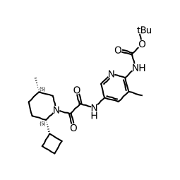 Cc1cc(NC(=O)C(=O)N2C[C@@H](C)CC[C@H]2C2CCC2)cnc1NC(=O)OC(C)(C)C